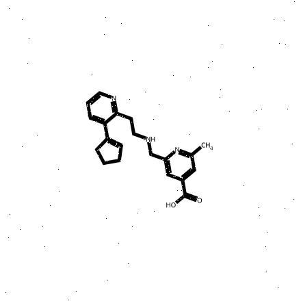 Cc1cc(C(=O)O)cc(CNCCc2ncccc2C2=CCCC2)n1